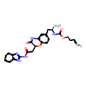 C=CCCOC(=O)N[C@@H](Cc1ccc2c(c1)NC(=O)C(CC(=O)Nc1nc3ccccc3[nH]1)O2)C(=O)O